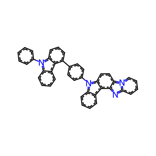 c1ccc(-n2c3ccccc3c3c(-c4ccc(-n5c6ccccc6c6c7nc8ccccn8c7ccc65)cc4)cccc32)cc1